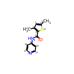 Cc1cc(C)c(C(=O)Nc2ccncc2)s1